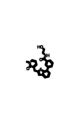 Cn1cccc(Cc2cc3cccc(-c4cccc(C(=O)NCCO)c4)c3s2)c1=O